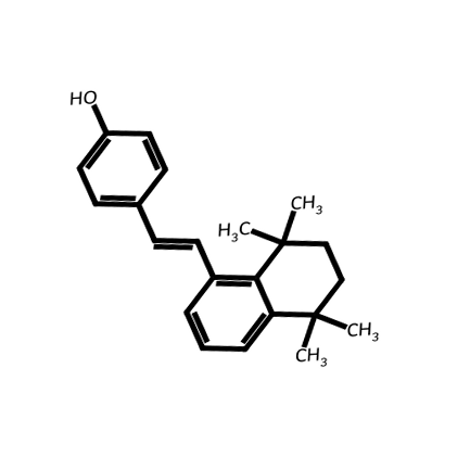 CC1(C)CCC(C)(C)c2c(C=Cc3ccc(O)cc3)cccc21